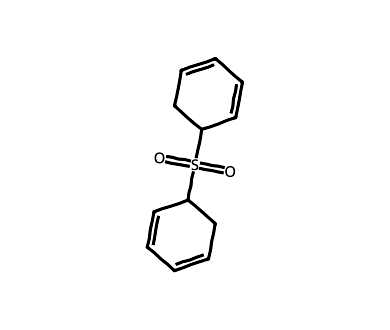 O=S(=O)(C1C=CC=CC1)C1C=CC=CC1